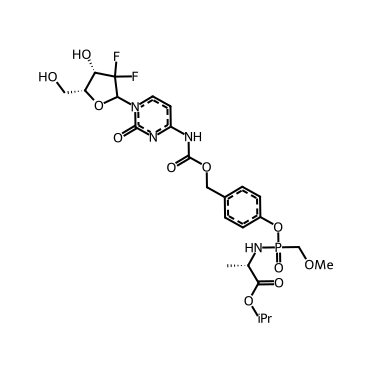 COCP(=O)(N[C@@H](C)C(=O)OC(C)C)Oc1ccc(COC(=O)Nc2ccn(C3O[C@H](CO)[C@H](O)C3(F)F)c(=O)n2)cc1